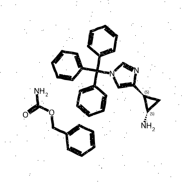 NC(=O)OCc1ccccc1.N[C@H]1C[C@@H]1c1cn(C(c2ccccc2)(c2ccccc2)c2ccccc2)cn1